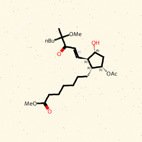 CCCCC(C)(OC)C(=O)/C=C/[C@@H]1[C@@H](CCCCCCC(=O)OC)[C@@H](OC(C)=O)C[C@H]1O